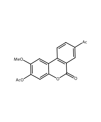 COc1cc2c(cc1OC(C)=O)oc(=O)c1cc(C(C)=O)ccc12